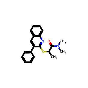 CC(Sc1nc2ccccc2cc1-c1ccccc1)C(=O)N(C)C